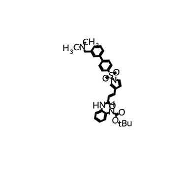 CN(C)Cc1cccc(-c2ccc(S(=O)(=O)n3ccc(C=CC(=O)Nc4ccccc4NC(=O)OC(C)(C)C)c3)cc2)c1